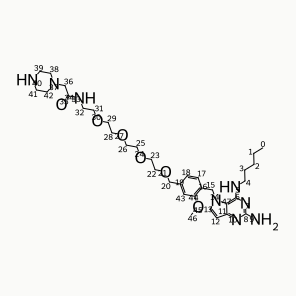 CCCCCNc1nc(N)nc2ccn(Cc3ccc(COCCOCCOCCOCCNC(=O)CN4CCNCC4)cc3OC)c12